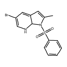 CC1=CC2=CC(Br)=CNC2N1S(=O)(=O)c1ccccc1